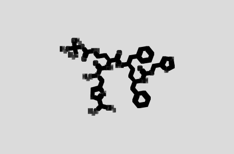 CC(C)c1nc(CN(C)C(=O)N[C@@H](CCNC(=O)OC(C)(C)C)C(=O)N[C@H](CC[C@H](Cc2ccccc2)NC(=O)OCc2cncs2)Cc2ccccc2)cs1